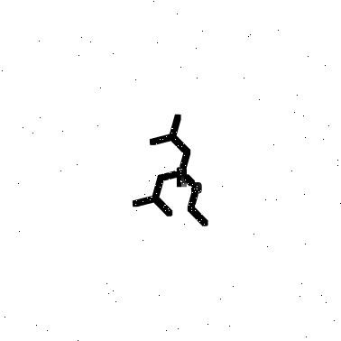 CCO[SiH](CC(C)C)CC(C)C